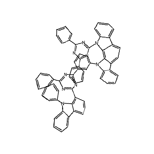 c1ccc(-c2nc(-c3cccc(-n4c5ccccc5c5ccc6c7ccccc7n(-c7nc(-c8ccccc8)nc(-c8ccccc8)n7)c6c54)c3)nc(-c3cccc4c5ccccc5n(-c5ccccc5)c34)n2)cc1